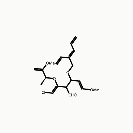 C=C/C=C(\C=C)COC(/C=C/OC)C(C=O)/C(=C/Cl)O[C@@H](C)C(=C)OC